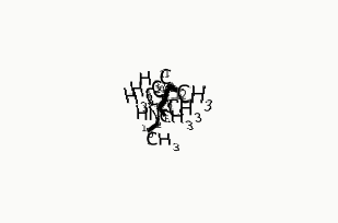 CCCNC(C)(C)C(C)(C)C(C)C